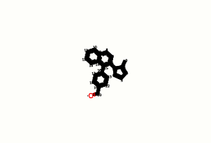 CC1=CC=CC1c1ccc2ccccc2c1-c1ccc(C[O])cc1